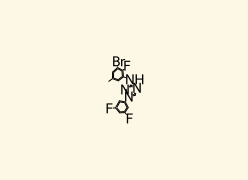 Cc1cc(Br)c(F)c(Nc2ncn(-c3cc(F)cc(F)c3)n2)c1